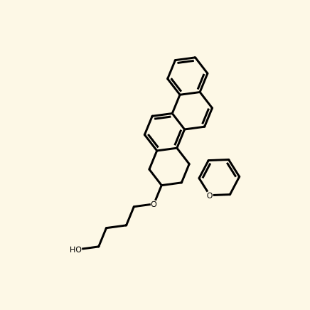 C1=CCOC=C1.OCCCCOC1CCc2c(ccc3c2ccc2ccccc23)C1